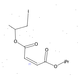 CC(C)OC(=O)/C=C\C(=O)OC(C)CI